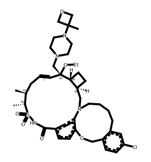 CCO[C@@]1(CN2CCN(C3(C)COC3)CC2)/C=C/C[C@H](C)[C@@H](C)S(=O)(=O)NC(=O)c2ccc3c(c2)N(CCCCc2cc(Cl)ccc2CO3)C[C@@H]2CC[C@H]21